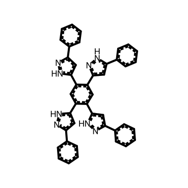 c1ccc(-c2cc(-c3cc(-c4cc(-c5ccccc5)n[nH]4)c(-c4cc(-c5ccccc5)n[nH]4)cc3-c3cc(-c4ccccc4)[nH]n3)[nH]n2)cc1